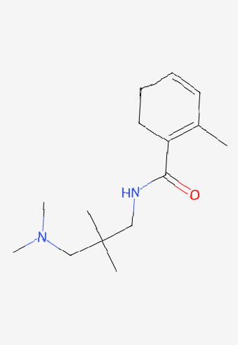 CC1=C(C(=O)NCC(C)(C)CN(C)C)CCC=C1